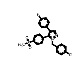 CS(=O)(=O)c1ccc(-c2c(-c3ccc(F)cc3)cnn2Cc2ccc(Cl)cc2)cc1